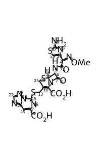 CO/N=C(\C(=O)N[C@@H]1C(=O)N2C(C(=O)O)=C(CSc3nc(C(=O)O)cc4ncnn34)CS[C@H]12)c1csc(N)n1